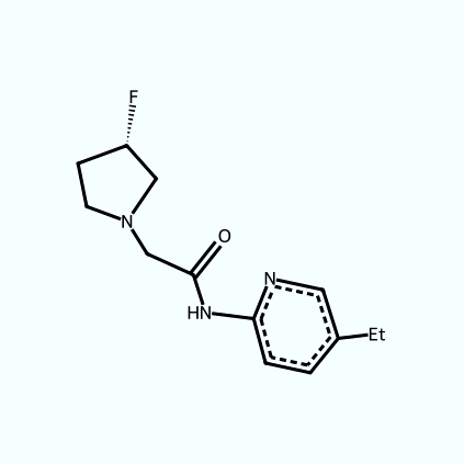 CCc1ccc(NC(=O)CN2CC[C@H](F)C2)nc1